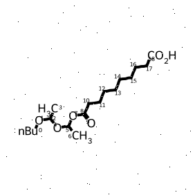 CCCCOC(C)OC(C)OC(=O)CCCCCCCCC(=O)O